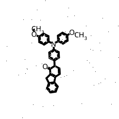 COc1ccc(N(c2ccc(OC)cc2)c2ccc(C3C=CC4=C(Cc5ccccc54)C3=O)cc2)cc1